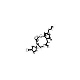 C=CCc1cc(C)c2c(c1)OC[C@H](C)CN(C1CCC(CC)C1)CCC(=C)C2